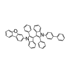 c1ccc(-c2ccc(-n3c(-c4ccccc4)c(-c4c(-c5ccccc5)n(-c5ccc6c(c5)oc5ccccc56)c5ccccc45)c4ccccc43)cc2)cc1